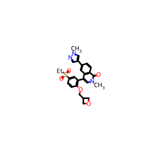 CCS(=O)(=O)c1ccc(OCC2COC2)c(-c2cn(C)c(=O)c3ccc(-c4cnn(C)c4)cc23)c1